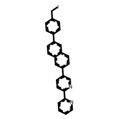 ICc1ccc(-c2ccc3cc(-c4ccc(-c5ccccn5)nc4)ccc3c2)cc1